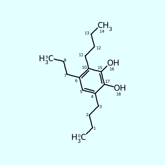 CCCCc1cc(CCC)c(CCCC)c(O)c1O